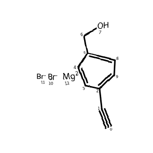 C#Cc1ccc(CO)cc1.[Br-].[Br-].[Mg+2]